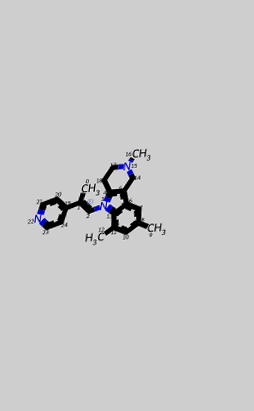 C/C(=C\n1c2c(c3cc(C)cc(C)c31)CN(C)CC2)c1ccncc1